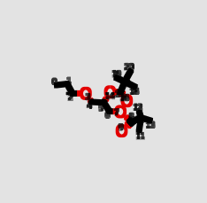 CC[CH]OCC(COC(=O)C(C)(C)C)OC(=O)C(C)(C)C